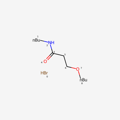 Br.CCCCNC(=O)CCOCCCC